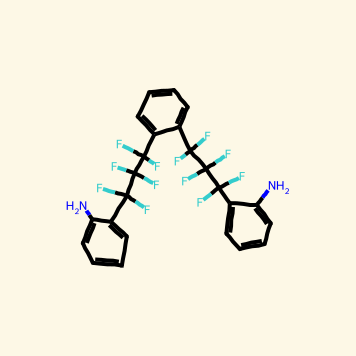 Nc1ccccc1C(F)(F)C(F)(F)C(F)(F)c1ccccc1C(F)(F)C(F)(F)C(F)(F)c1ccccc1N